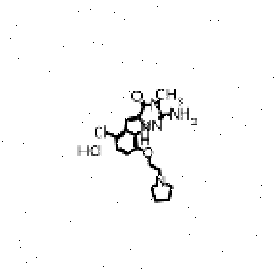 CN(C(=N)N)C(=O)c1cc2c(Cl)ccc(OCCN3CCCC3)c2[nH]1.Cl